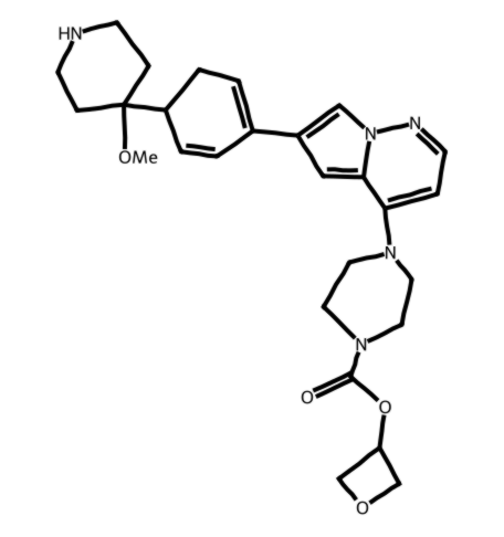 COC1(C2C=CC(c3cc4c(N5CCN(C(=O)OC6COC6)CC5)ccnn4c3)=CC2)CCNCC1